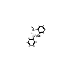 COc1ccccc1N[C@@H](C)c1ccccc1